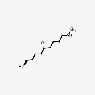 C=CCCCCCCCCNN.Cl